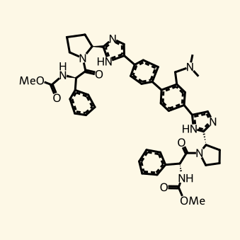 COC(=O)N[C@@H](C(=O)N1CCC[C@H]1c1ncc(-c2ccc(-c3ccc(-c4cnc([C@@H]5CCCN5C(=O)[C@H](NC(=O)OC)c5ccccc5)[nH]4)cc3CN(C)C)cc2)[nH]1)c1ccccc1